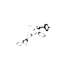 Cc1ccc(-c2cc(N3C(=O)CN(S(=O)(=O)c4ccc(N5CCCC5)nc4)C[C@H]3C3CCCCC3)c(C(=O)O)s2)cc1